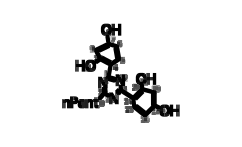 CCCCCc1nc(-c2ccc(O)cc2O)nc(-c2ccc(O)cc2O)n1